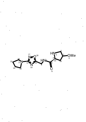 COC1CN[C@H](C(=O)NCc2nc(N3CCCC3)no2)C1